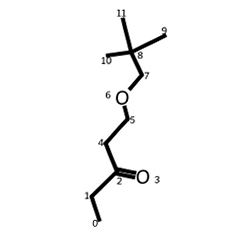 CCC(=O)CCOCC(C)(C)C